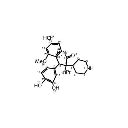 CCCC(C(N)=O)(C1CCNCC1)C(c1ccc(O)c(O)c1)c1ccccc1OC.Cl